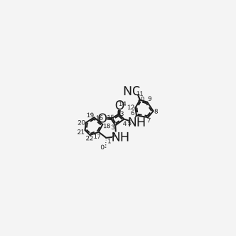 C[C@@H](Nc1c(Nc2cccc(C#N)c2)c(=O)c1=O)c1ccccc1